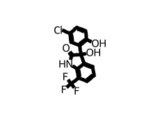 O=C1Nc2c(C(F)(F)F)cccc2C1(O)c1cc(Cl)ccc1O